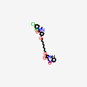 COc1c(OCCCCCCCCCOc2ccc3nc(C)n(-c4ccc(Cl)cc4Cl)c(=O)c3c2)cn2c1C=[N+]([O-])C1=CCCC[C@H]1C2